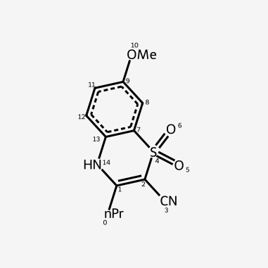 CCCC1=C(C#N)S(=O)(=O)c2cc(OC)ccc2N1